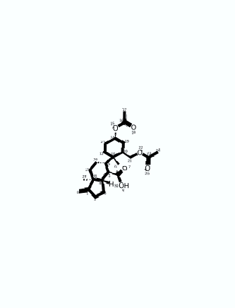 C=C1CC[C@H]2[C@H](C(=O)O)[C@@H]([C@]3(C)CC[C@H](OC(C)=O)C[C@H]3COC(C)=O)CC[C@]12C